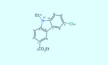 CCOC(=O)c1ccc2c(c1)c1cc(Cl)ccc1n2CC